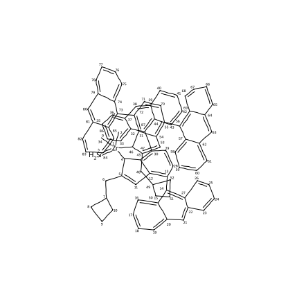 [CH3][Zr]([CH3])(=[SiH2])([CH]1C(CC2CCC2)=Cc2c(-c3c4ccccc4cc4ccccc34)ccc(-c3c4ccccc4cc4ccccc34)c21)[CH]1C(CC2CCC2)=Cc2c(-c3c4ccccc4cc4ccccc34)ccc(-c3c4ccccc4cc4ccccc34)c21